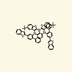 CC(C)(C)c1ccc2sc3c(c2c1)N(c1cc(-c2cc4ccccc4s2)ccc1-c1ccccc1)c1cccc2c1B3c1sc3ccc(C(C)(C)C)cc3c1N2c1cc(-c2cc3ccccc3s2)ccc1-c1ccccc1